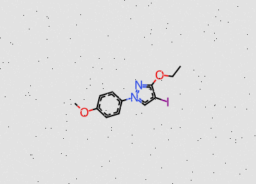 CCOc1nn(-c2ccc(OC)cc2)cc1I